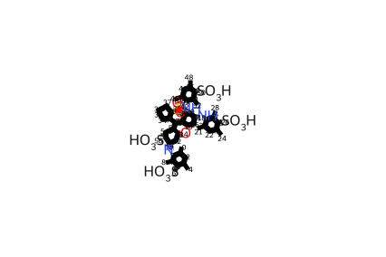 Cc1cc(C)c(S(=O)(=O)O)c(C)c1/N=c1\cc2oc3cc(Nc4c(C)cc(C)c(S(=O)(=O)O)c4C)ccc3c(-c3ccccc3S(=O)(=O)Nc3c(C)cc(C)c(S(=O)(=O)O)c3C)c-2cc1S(=O)(=O)O